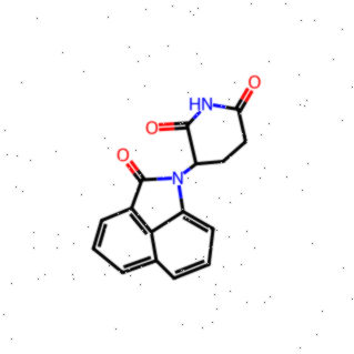 O=C1CCC(N2C(=O)c3cccc4cccc2c34)C(=O)N1